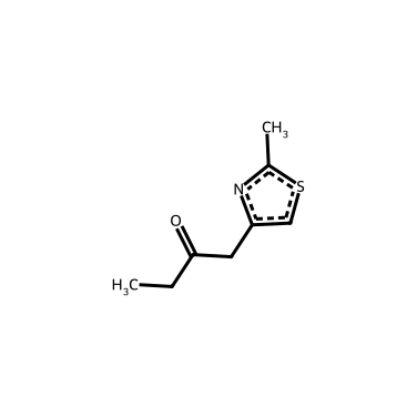 CCC(=O)Cc1csc(C)n1